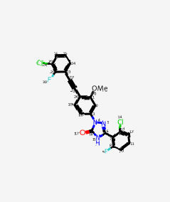 COc1cc(-n2nc(-c3c(F)cccc3Cl)[nH]c2=O)ccc1C#Cc1cccc(Cl)c1F